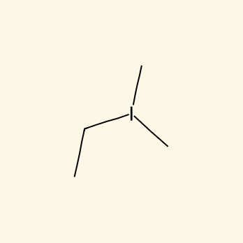 CCI(C)C